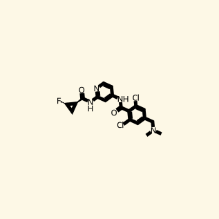 CN(C)Cc1cc(Cl)c(C(=O)Nc2ccnc(NC(=O)[C@H]3C[C@@H]3F)c2)c(Cl)c1